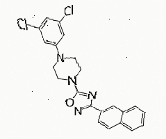 Clc1cc(Cl)cc(N2CCN(c3nc(-c4ccc5ccccc5c4)no3)CC2)c1